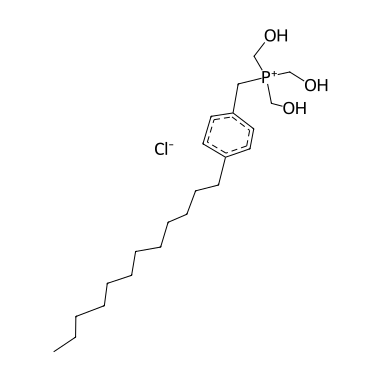 CCCCCCCCCCCCc1ccc(C[P+](CO)(CO)CO)cc1.[Cl-]